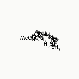 COc1ccc(-c2c(C)nc(NCCSCc3csc(CN(C)C)n3)[nH]c2=O)cn1